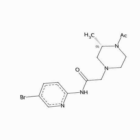 CC(=O)N1CCN(CC(=O)Nc2ccc(Br)cn2)C[C@@H]1C